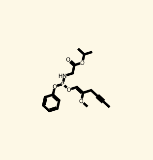 CC#CC/C(=C/OP(NCC(=O)OC(C)C)Oc1ccccc1)OC